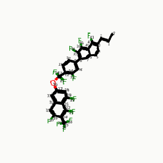 CCCc1ccc2cc(-c3ccc(C(F)(F)Oc4cc(F)c5c(F)c(C(F)(F)F)c(F)cc5c4)c(F)c3)c(F)c(F)c2c1F